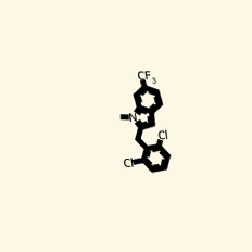 Cn1c(Cc2c(Cl)[c]ccc2Cl)cc2ccc(C(F)(F)F)cc21